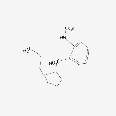 NCCC1CCCC1.O=C(O)Nc1ccccc1C(=O)O